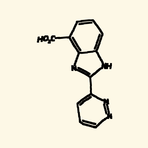 O=C(O)c1cccc2[nH]c(-c3cccnn3)nc12